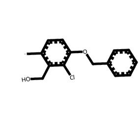 [CH2]c1ccc(OCc2ccccc2)c(Cl)c1CO